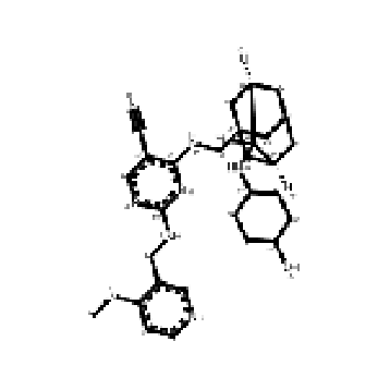 CSc1ccncc1CNc1ncc(C#N)c(NC[C@]23CC4C[C@H](C2)[C@@H](NC2CCC(O)CC2)[C@@H](C4)C3)n1